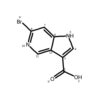 O=C(O)c1c[nH]c2cc(Br)ncc12